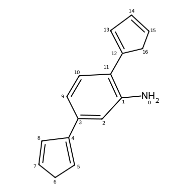 Nc1cc(C2=CCC=C2)ccc1C1=CC=CC1